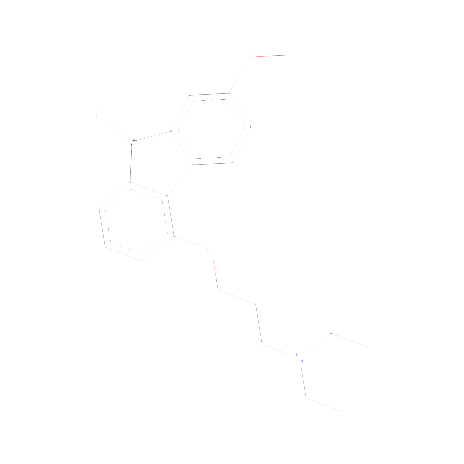 CCN(CC)CCCOc1cccc2c1-c1ccc(OC)cc1C2=O